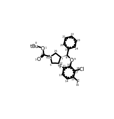 CC(C)(C)OC(=O)N1CC[C@@H](C(Oc2c(F)ccc(F)c2Cl)c2ccccc2)C1